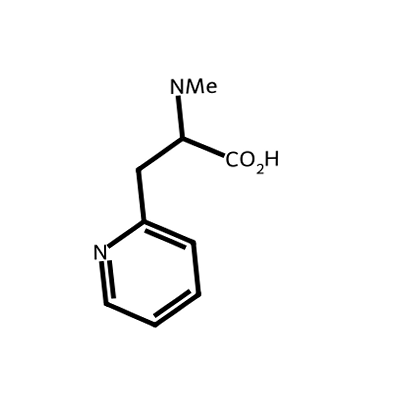 CNC(Cc1ccccn1)C(=O)O